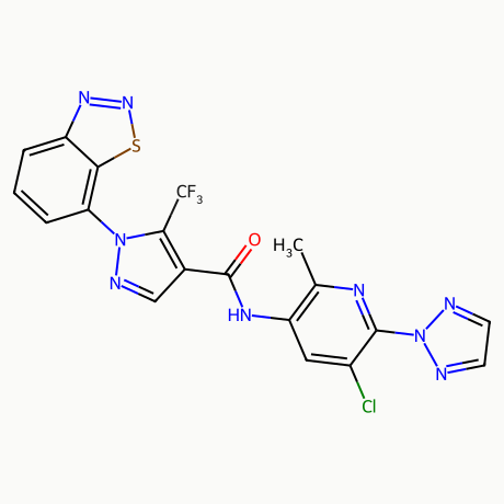 Cc1nc(-n2nccn2)c(Cl)cc1NC(=O)c1cnn(-c2cccc3nnsc23)c1C(F)(F)F